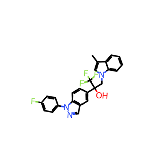 Cc1cn(CC(O)(c2ccc3c(cnn3-c3ccc(F)cc3)c2)C(F)(F)F)c2ccccc12